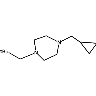 CC(C)(C)CN1CCN(CC2CC2)CC1